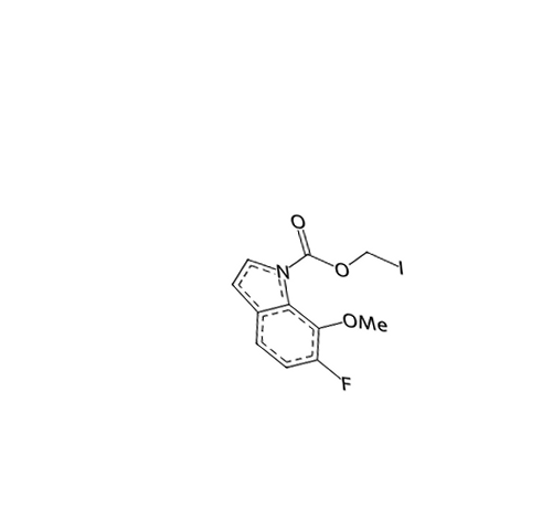 COc1c(F)ccc2ccn(C(=O)OCI)c12